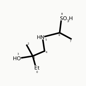 CCC(C)(O)CNC(C)S(=O)(=O)O